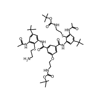 CC(=O)Nc1cc(C(C)(C)C)cc(NC(=O)c2cc(OCCNC(=O)OC(C)(C)C)cc(C(=O)Nc3cc(C(C)(C)C)cc(NC(C)=O)c3SCCNC(=O)OC(C)(C)C)c2)c1SCCN